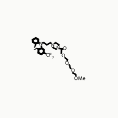 COCCOCCOCCOCC(=O)N1CCN(CCCN2c3ccccc3Sc3ccc(C(F)(F)F)cc32)CC1